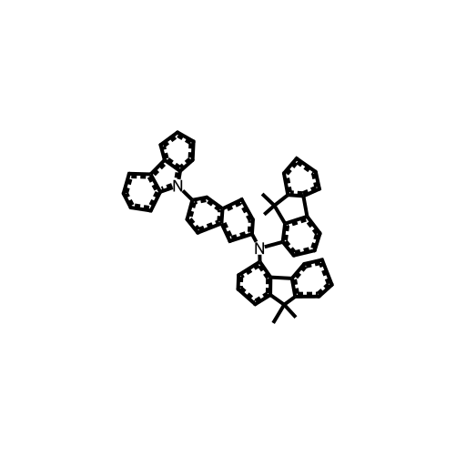 CC1(C)c2ccccc2-c2c(N(c3ccc4cc(-n5c6ccccc6c6ccccc65)ccc4c3)c3cccc4c3C(C)(C)c3ccccc3-4)cccc21